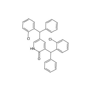 O=c1[nH]cc(C(c2ccccc2)c2ccccc2Cl)cc1C(c1ccccc1)c1ccccc1Cl